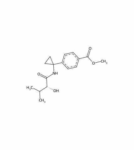 COC(=O)c1ccc(C2(NC(=O)[C@H](O)C(C)C)CC2)cc1